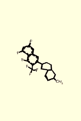 CC1CCC2CC(c3cc4cc(F)cc(F)c4c(F)c3C(F)(F)F)CCC2C1